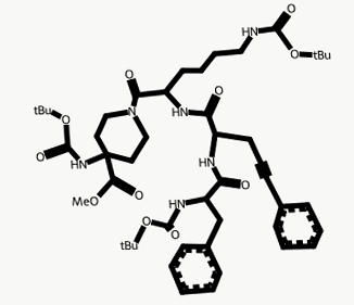 COC(=O)C1(NC(=O)OC(C)(C)C)CCN(C(=O)C(CCCCNC(=O)OC(C)(C)C)NC(=O)C(CC#Cc2ccccc2)NC(=O)C(Cc2ccccc2)NC(=O)OC(C)(C)C)CC1